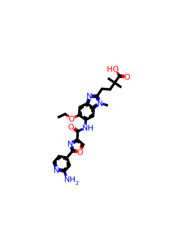 CCOc1cc2nc(CCC(C)(C)C(=O)O)n(C)c2cc1NC(=O)c1coc(-c2ccnc(N)c2)n1